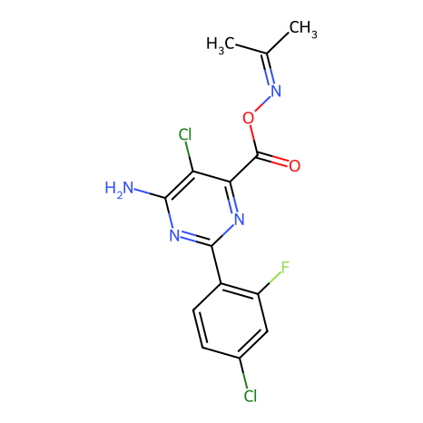 CC(C)=NOC(=O)c1nc(-c2ccc(Cl)cc2F)nc(N)c1Cl